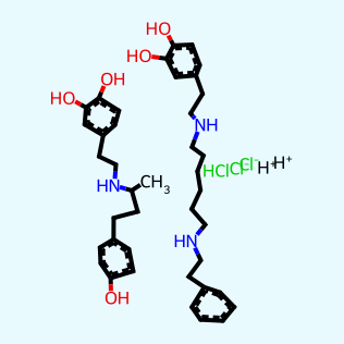 CC(CCc1ccc(O)cc1)NCCc1ccc(O)c(O)c1.Cl.Oc1ccc(CCNCCCCCCNCCc2ccccc2)cc1O.[Cl-].[Cl-].[H+].[H+]